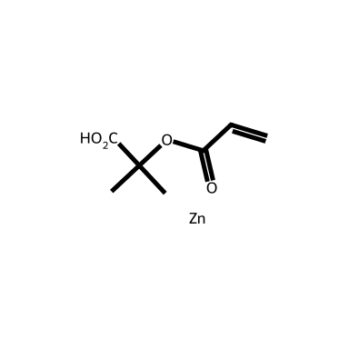 C=CC(=O)OC(C)(C)C(=O)O.[Zn]